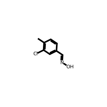 Cc1ccc(C=NO)cc1Cl